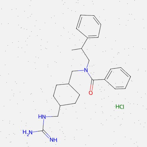 CC(CN(CC1CCC(CNC(=N)N)CC1)C(=O)c1ccccc1)c1ccccc1.Cl